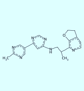 Cc1ncc(-c2cc(NCC(C)c3nccc4c3OCC4)ncn2)cn1